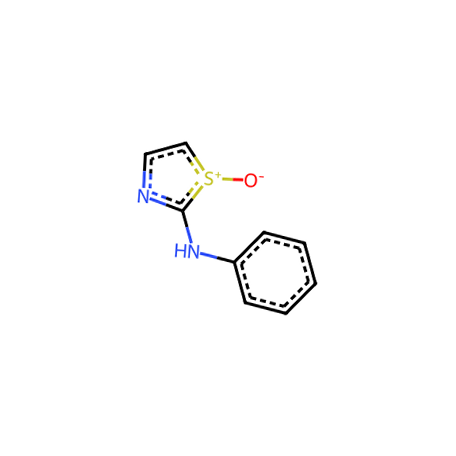 [O-][s+]1ccnc1Nc1ccccc1